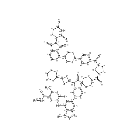 Cc1cc(F)c(Nc2nc(-c3ccc4c(c3)N(C3CC(N5CCCCC5)C3)C(=O)C43CCN(C(=O)[C@@H]4CCN(C(=O)c5cnc(N6CCN(c7cccc8c7C(=O)N(C7CCC(=O)NC7=O)C8=O)CC6)cn5)C4)CC3)cc3ncn(C(C)C)c23)cc1C(=O)NC(C)C